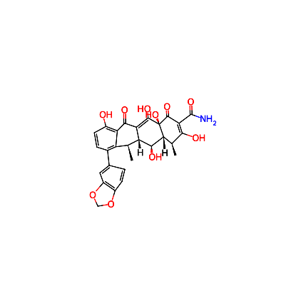 C[C@@H]1C(O)=C(C(N)=O)C(=O)[C@@]2(O)C(O)=C3C(=O)c4c(O)ccc(-c5ccc6c(c5)OCO6)c4[C@H](C)[C@H]3[C@H](O)[C@@H]12